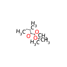 CCC(C)C(=O)C(=O)OC(C)(C)C